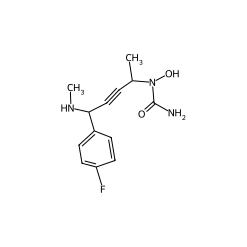 CNC(C#CC(C)N(O)C(N)=O)c1ccc(F)cc1